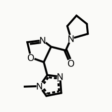 Cn1ccnc1C1OC=NC1C(=O)N1CCCC1